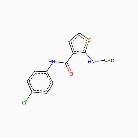 O=[C]Nc1sccc1C(=O)Nc1ccc(Cl)cc1